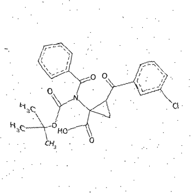 CC(C)(C)OC(=O)N(C(=O)c1ccccc1)C1(C(=O)O)CC1C(=O)c1cccc(Cl)c1